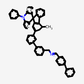 CC1CC(c2cccc(-c3cccc(C/N=C/c4ccc(-c5ccccc5)cc4)c3)c2)=CC2=C1c1ccccc1C21c2ccccc2N(c2ccccc2)c2ccccc21